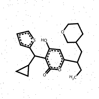 CCC(CC1CCCOC1)c1cc(O)c(C(c2cccs2)C2CC2)c(=O)o1